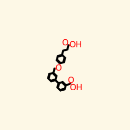 O=C(O)CCc1ccc(OCc2cccc(-c3cccc(C(=O)O)c3)c2)cc1